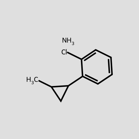 CC1CC1c1ccccc1Cl.N